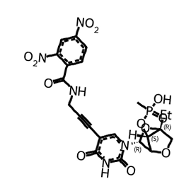 CC[C@]12COC([C@H](n3cc(C#CCNC(=O)c4ccc([N+](=O)[O-])cc4[N+](=O)[O-])c(=O)[nH]c3=O)O1)[C@@H]2OP(C)(=O)O